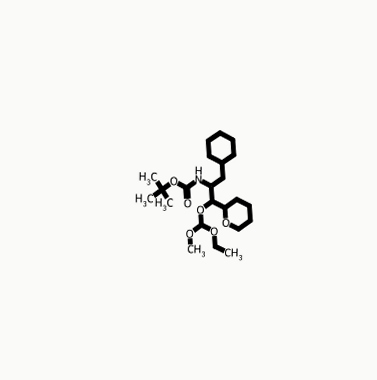 CCOC(OC)OC(C(CC1CCCCC1)NC(=O)OC(C)(C)C)C1CCCCO1